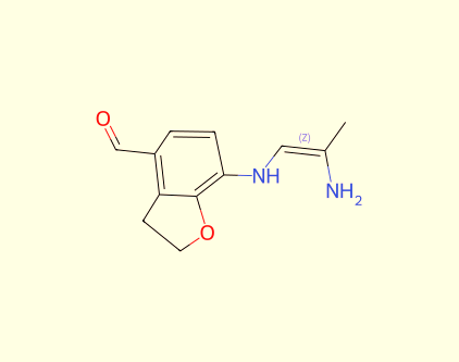 C/C(N)=C/Nc1ccc(C=O)c2c1OCC2